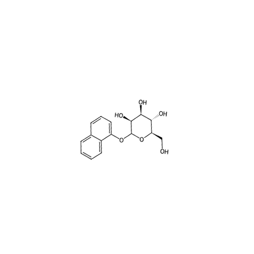 OC[C@H]1OC(Oc2cccc3ccccc23)[C@@H](O)[C@@H](O)[C@@H]1O